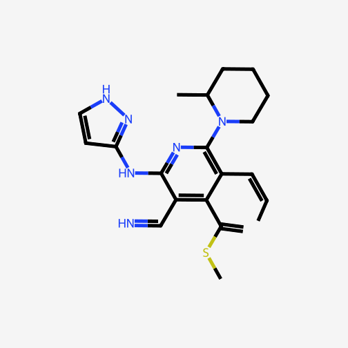 C=C(SC)c1c(C=N)c(Nc2cc[nH]n2)nc(N2CCCCC2C)c1/C=C\C